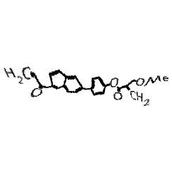 C=CC(=O)c1ccc2cc(-c3ccc(OC(=O)C(=C)COC)cc3)ccc2c1